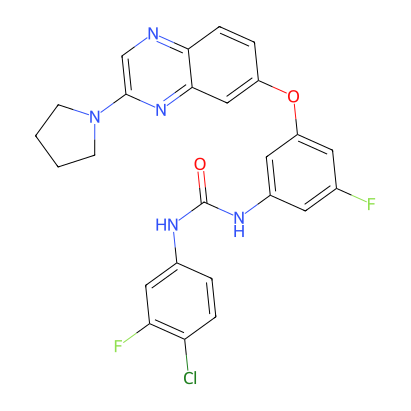 O=C(Nc1cc(F)cc(Oc2ccc3ncc(N4CCCC4)nc3c2)c1)Nc1ccc(Cl)c(F)c1